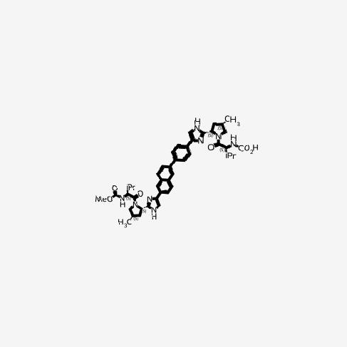 COC(=O)N[C@H](C(=O)N1C[C@@H](C)C[C@H]1c1nc(-c2ccc3cc(-c4ccc(-c5c[nH]c([C@@H]6C[C@H](C)CN6C(=O)[C@@H](NC(=O)O)C(C)C)n5)cc4)ccc3c2)c[nH]1)C(C)C